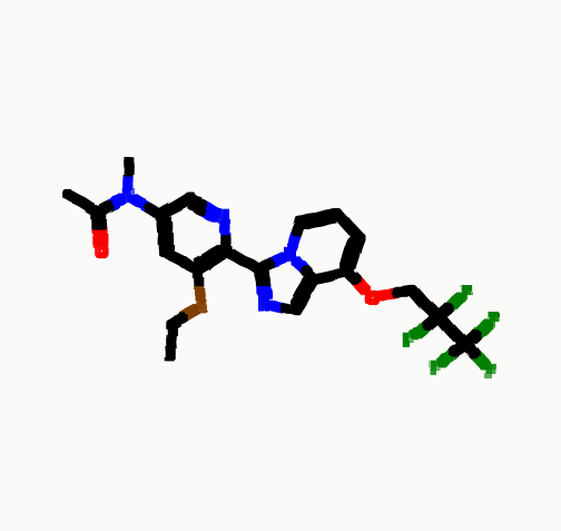 CCSc1cc(N(C)C(C)=O)cnc1-c1ncc2c(OCC(F)(F)C(F)(F)F)cccn12